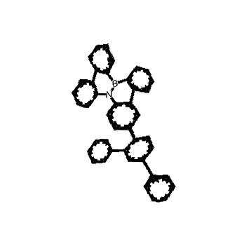 c1ccc(-c2ccc(-c3ccc4c(c3)-c3ccccc3B3c5ccccc5-c5ccccc5N34)c(-c3ccccc3)c2)cc1